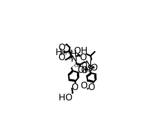 CC(C)CN(C[C@@H](O)[C@H](Cc1ccc(OCCO)cc1)N(C(=O)O)[C@H]1CO[C@H]2OCC[C@H]21)S(=O)(=O)c1ccc2c(c1)OCO2